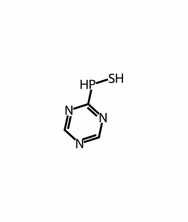 SPc1ncncn1